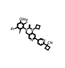 C=C1N(c2c(F)c(OC)cc(C(C)C)c2F)Cc2cnc(-c3ccc(C4(C#N)CCC4)nc3)cc2N1C1CCC1